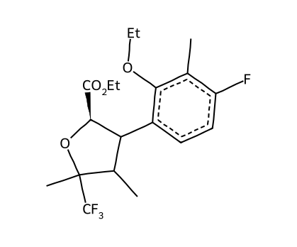 CCOC(=O)[C@@H]1OC(C)(C(F)(F)F)C(C)C1c1ccc(F)c(C)c1OCC